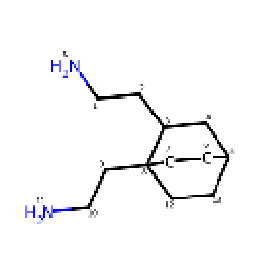 NCCC1CC2CCC1(CCN)CC2